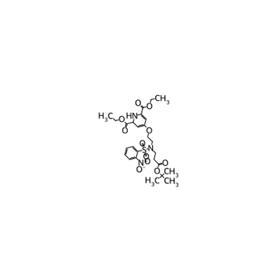 CCOC(=O)C1=CC(OCCN(CCC(=O)OC(C)(C)C)S(=O)(=O)c2ccccc2[N+](=O)[O-])=CC(C(=O)OCC)N1